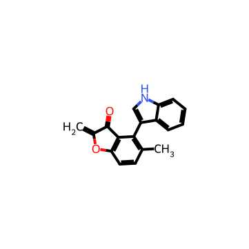 C=C1Oc2ccc(C)c(-c3c[nH]c4ccccc34)c2C1=O